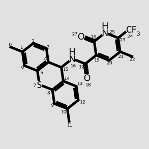 Cc1ccc2c(c1)Sc1cc(C)ccc1C2NC(=O)c1cc(C)c(C(F)(F)F)[nH]c1=O